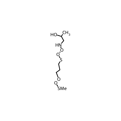 CSOOCCCSOONCC(C)O